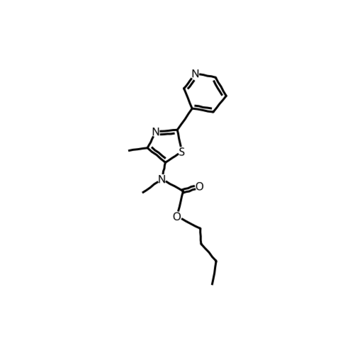 CCCCOC(=O)N(C)c1sc(-c2cccnc2)nc1C